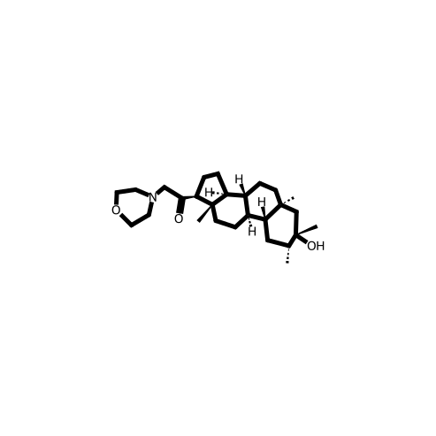 C[C@@H]1C[C@@H]2[C@H]3CC[C@]4(C)[C@@H](C(=O)CN5CCOCC5)CC[C@H]4[C@@H]3CC[C@@]2(C)C[C@]1(C)O